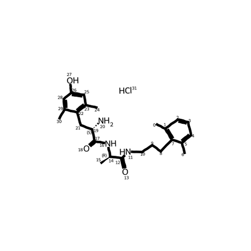 Cc1cccc(C)c1CCCNC(=O)[C@@H](C)NC(=O)[C@@H](N)Cc1c(C)cc(O)cc1C.Cl